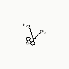 CCCCCCCCCC(CCCCCC)c1ccccc1-c1ccccc1O